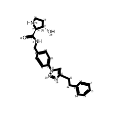 O=C(NCc1ccc(-n2cc(CCc3ccccc3)nn2)cc1)[C@H]1NCC[C@@H]1O